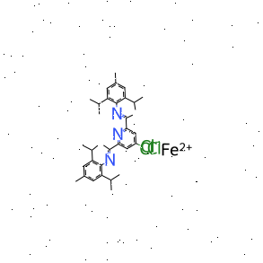 CC(=Nc1c(C(C)C)cc(C)cc1C(C)C)c1cc(Cl)cc(C(C)=Nc2c(C(C)C)cc(C)cc2C(C)C)n1.[Cl-].[Cl-].[Fe+2]